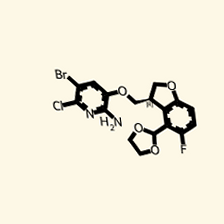 Nc1nc(Cl)c(Br)cc1OC[C@H]1COc2ccc(F)c(C3OCCO3)c21